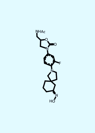 CC(=O)NCC1CN(c2ccc(N3CCC4(CCCC(=NO)C4)C3)c(F)c2)C(=O)O1